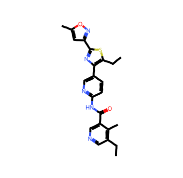 CCc1cncc(C(=O)Nc2ccc(-c3nc(-c4cc(C)on4)sc3CC)cn2)c1C